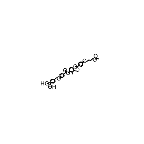 CC(=O)OCCCCOc1ccc(C(=O)Oc2ccc(OC(=O)c3ccc(OCc4ccc(B(O)O)cc4)cc3)c(C)c2C)cc1